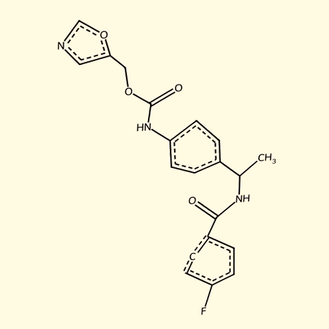 CC(NC(=O)c1ccc(F)cc1)c1ccc(NC(=O)OCc2cnco2)cc1